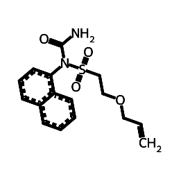 C=CCOCCS(=O)(=O)N(C(N)=O)c1cccc2ccccc12